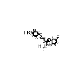 CN(Cc1ccc(F)cc1)C(=O)CCCSc1ccc(O)cc1